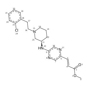 COC(=O)C=Cc1cnc(N[C@@H]2CCCN(CCc3ccccc3Cl)C2)cn1